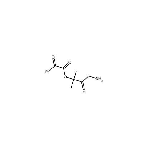 CC(C)C(=O)C(=O)OC(C)(C)C(=O)CN